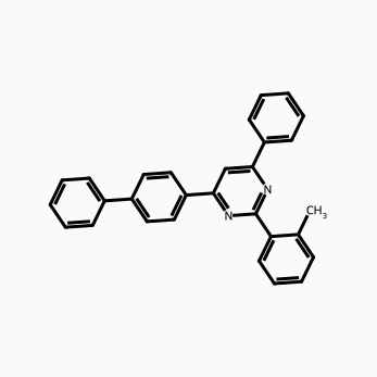 Cc1ccccc1-c1nc(-c2ccccc2)cc(-c2ccc(-c3ccccc3)cc2)n1